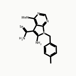 CNc1ncnc2c1c(C(N)=[Se])c(N)n2Cc1ccc(C)cc1